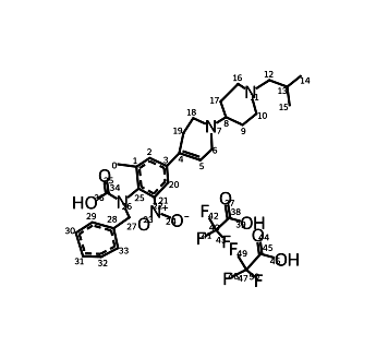 Cc1cc(C2=CCN(C3CCN(CC(C)C)CC3)CC2)cc([N+](=O)[O-])c1N(Cc1ccccc1)C(=O)O.O=C(O)C(F)(F)F.O=C(O)C(F)(F)F